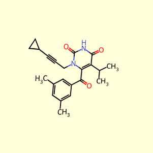 Cc1cc(C)cc(C(=O)c2c(C(C)C)c(=O)[nH]c(=O)n2CC#CC2CC2)c1